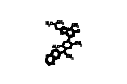 CC(c1ccc2nccnc2c1)N1C[C@H](C)N(c2cc(=O)n(C)n3cc(CN(C)C)nc23)C[C@H]1C